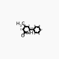 Cc1cc(-c2ccccc2)[nH]c(=O)c1